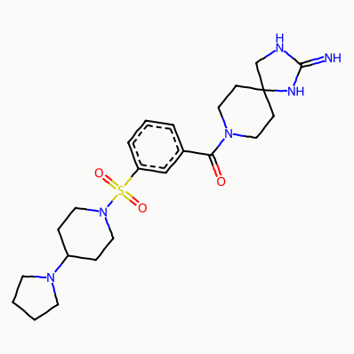 N=C1NCC2(CCN(C(=O)c3cccc(S(=O)(=O)N4CCC(N5CCCC5)CC4)c3)CC2)N1